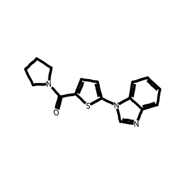 O=C(c1ccc(-n2cnc3ccccc32)s1)N1CCCC1